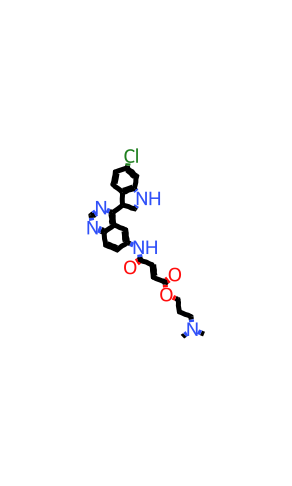 CN(C)CCCOC(=O)C=CC(=O)Nc1ccc2ncnc(C3CNc4cc(Cl)ccc43)c2c1